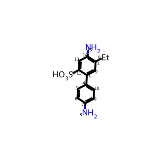 CCc1cc(-c2ccc(N)cc2)c(S(=O)(=O)O)cc1N